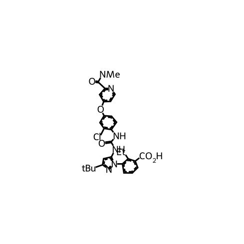 CCc1c(C(=O)O)cccc1-n1nc(C(C)(C)C)cc1NC(=O)Nc1ccc(Oc2ccnc(C(=O)NC)c2)cc1Cl